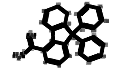 N=C(N)c1cccc2c1C1=C(CCC=C1)C2(c1ccccc1)c1ccccc1